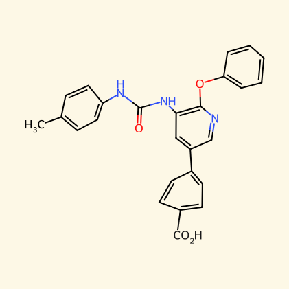 Cc1ccc(NC(=O)Nc2cc(-c3ccc(C(=O)O)cc3)cnc2Oc2ccccc2)cc1